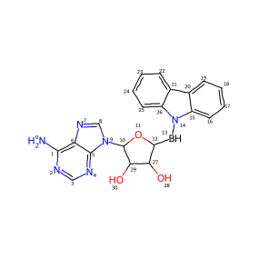 Nc1ncnc2c1ncn2C1OC(Bn2c3ccccc3c3ccccc32)C(O)C1O